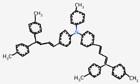 Cc1ccc(C(=CC=Cc2ccc(N(c3ccc(C)cc3)c3ccc(C=CC=C(c4ccc(C)cc4)c4ccc(C)cc4)cc3)cc2)c2ccc(C)cc2)cc1